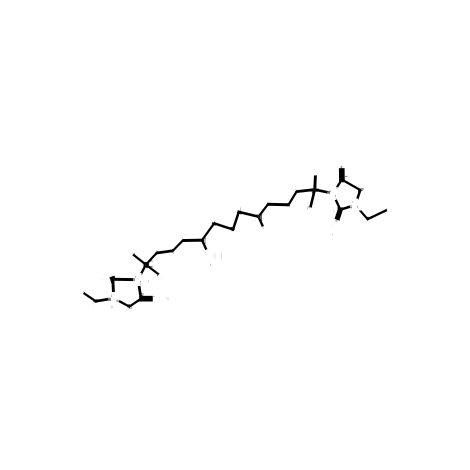 CCN1CC(=S)N(C(C)(C)CCCC(O)CCCC(O)CCCC(C)(C)N2C(=S)CN(CC)C2=S)C1=O